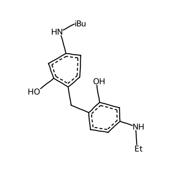 CCNc1ccc(Cc2ccc(NC(C)CC)cc2O)c(O)c1